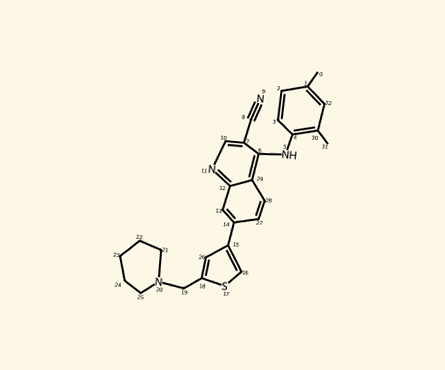 Cc1ccc(Nc2c(C#N)cnc3cc(-c4csc(CN5CCCCC5)c4)ccc23)c(C)c1